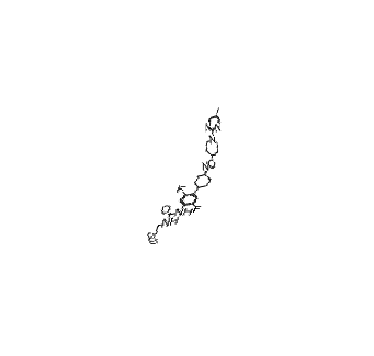 CCOCCNC(=O)Nc1cc(F)c(C2CCC(=NOC3CCN(c4ncc(C)cn4)CC3)CC2)cc1F